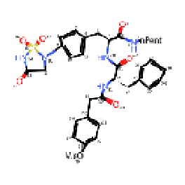 CCCCCNC(=O)[C@H](Cc1ccc(N2CC(=O)NS2(=O)=O)cc1)NC(=O)[C@H](Cc1ccccc1)NC(=O)Cc1ccc(OC)cc1